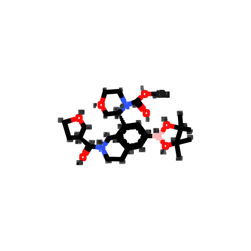 CC(C)(C)OC(=O)N1CCOC[C@H]1c1cc(B2OC(C)(C)C(C)(C)O2)cc2c1CN(C(=O)[C@H]1CCOC1)CC2